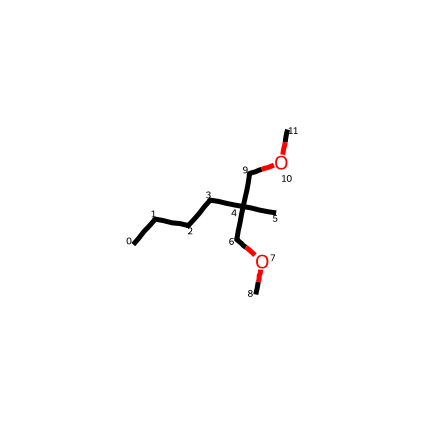 CCCCC(C)(COC)COC